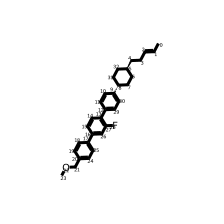 CC=CCC[C@H]1CC[C@H](c2ccc(-c3ccc(-c4ccc(COC)cc4)cc3F)cc2)CC1